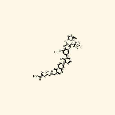 CNC(=O)C[C@H](O)CNCc1cnc2cc(-c3cccc(-c4ccc(CN(C[C@@H]5CCC(=O)N5)C(=O)OC(C)(C)C)c(OC)n4)c3Cl)ccn2c1=O